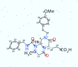 COc1ccc(CCN2C[C@H]3N(C(=O)CN(C)N3C(=O)NCc3ccccc3)[C@@H](CCC(=O)O)C2=O)cc1